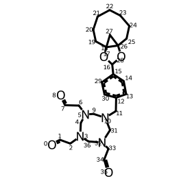 O=CCN1CN(CC=O)CN(Cc2ccc(C3OC45CCCCCCCC4(C5)O3)cc2)CN(CC=O)C1